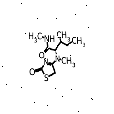 CC[C@H](C)[C@@H](C(=O)NC)N(C)C1=NC(=O)SC1